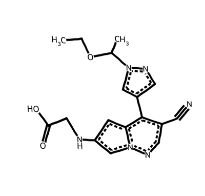 CCOC(C)n1cc(-c2c(C#N)cnn3cc(NCC(=O)O)cc23)cn1